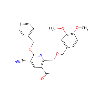 COc1ccc(COCc2nc(OCc3ccccc3)c(C#N)cc2C(=O)F)cc1OC